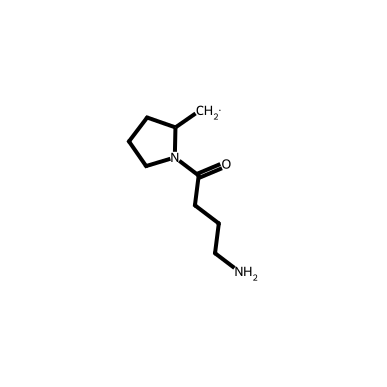 [CH2]C1CCCN1C(=O)CCCN